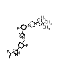 CC(C)(C)OC(=O)N1CCN(c2ccc(F)c(-c3cn(Cc4ccc(-c5nnc(C(F)F)o5)cc4F)nn3)c2)CC1